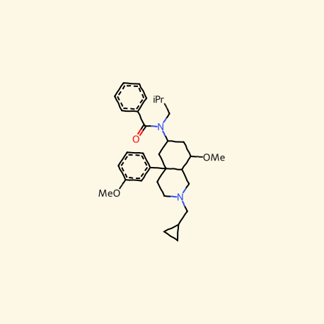 COc1cccc(C23CCN(CC4CC4)CC2C(OC)CC(N(CC(C)C)C(=O)c2ccccc2)C3)c1